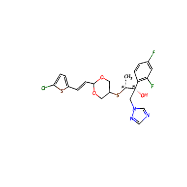 C[C@@H](SC1COC(C=Cc2ccc(Cl)s2)OC1)[C@](O)(Cn1cncn1)c1ccc(F)cc1F